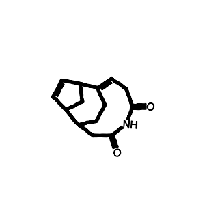 O=C1C/C=C2/CCC(CC(=O)N1)C1C=CC2C1